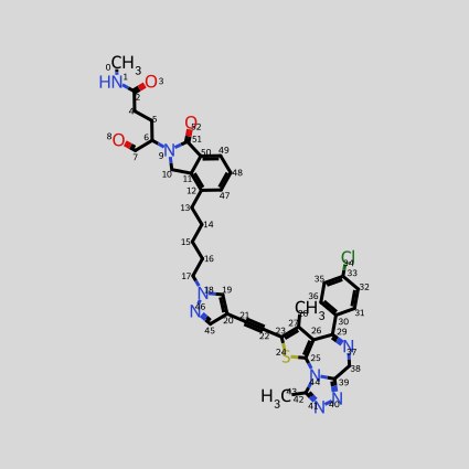 CNC(=O)CCC(C=O)N1Cc2c(CCCCCn3cc(C#Cc4sc5c(c4C)C(c4ccc(Cl)cc4)=NCc4nnc(C)n4-5)cn3)cccc2C1=O